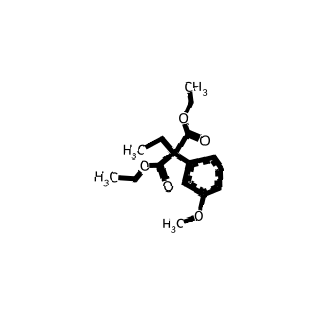 CCOC(=O)C(CC)(C(=O)OCC)c1cccc(OC)c1